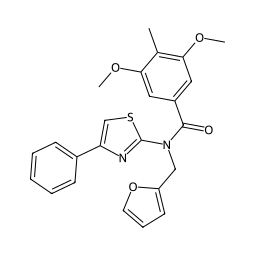 COc1cc(C(=O)N(Cc2ccco2)c2nc(-c3ccccc3)cs2)cc(OC)c1C